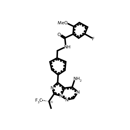 COc1ccc(F)cc1C(=O)NCc1ccc(-c2nc([C@H](C)C(F)(F)F)n3ncnc(N)c23)cc1